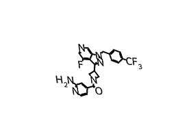 Nc1cc(C(=O)N2CC(c3nn(Cc4ccc(C(F)(F)F)cc4)c4cncc(F)c34)C2)ccn1